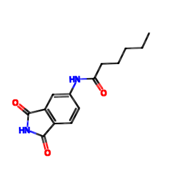 CCCCCC(=O)Nc1ccc2c(c1)C(=O)NC2=O